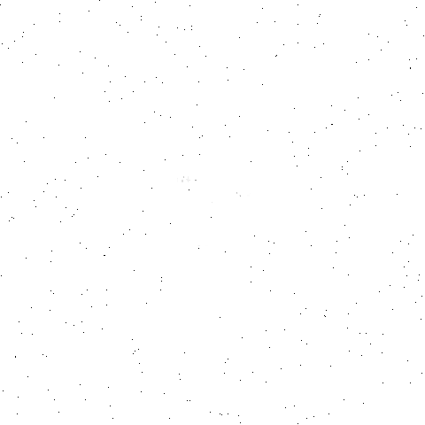 CCCCCCCCCC(CCCCCCCC)(CCCCCCCCC)OC=O